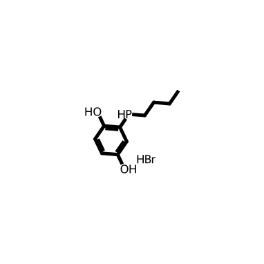 Br.CCCCPc1cc(O)ccc1O